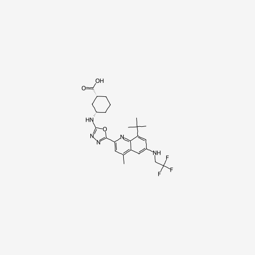 Cc1cc(-c2nnc(N[C@H]3CCC[C@@H](C(=O)O)C3)o2)nc2c(C(C)(C)C)cc(NCC(F)(F)F)cc12